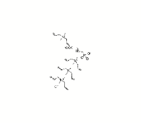 C=CC[N+](C)(C)CC=C.C=CC[N+](C)(C)CC=C.C=CC[N+](C)(C)CC=C.C=CC[N+](C)(C)CC=C.O=C([O-])CNCP(=O)([O-])[O-].[Cl-]